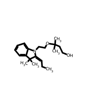 CC/C=C1/N(CCOC(C)(C)CCO)c2ccccc2C1(C)C